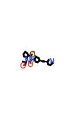 O=c1c2ccccc2n(C2COC2)c(=O)n1-c1c(F)cc(C#Cc2cccnc2)cc1Cl